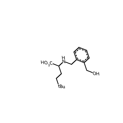 CC(C)(C)CCC(NCc1ccccc1CO)C(=O)O